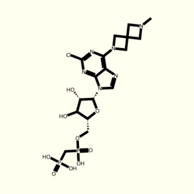 CN1CC2(C1)CN(c1nc(Cl)nc3c1ncn3[C@@H]1O[C@H](COP(=O)(O)CP(=O)(O)O)C(O)[C@@H]1O)C2